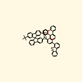 CC(C)(C)c1ccc2c(c1)C1(c3ccccc3-c3ccc(N(c4ccc(-c5cccc6c5sc5ccccc56)cc4)c4ccccc4-c4ccccc4-c4ccccc4-c4ccccc4)cc31)c1cc(C(C)(C)C)ccc1-2